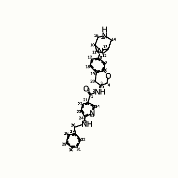 O=C(N[C@H]1COc2cc(N3C4CCC3CNC4)ccc2C1)c1ccc(NCc2ccccc2)nc1